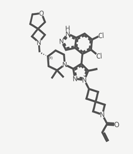 C=CC(=O)N1CC2(CC(n3nc(N4CC[C@@H](CN5CC6(CCOC6)C5)CC4(C)C)c(-c4c(Cl)c(Cl)cc5[nH]ncc45)c3C)C2)C1